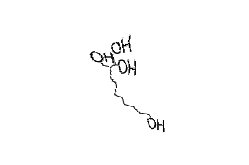 OCCCCCCCCC(CO)C(O)CO